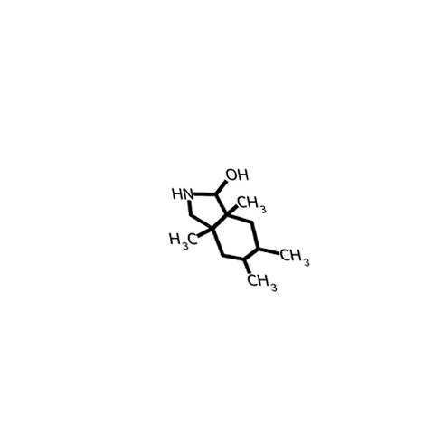 CC1CC2(C)CNC(O)C2(C)CC1C